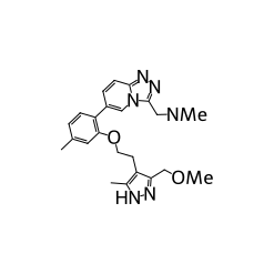 CNCc1nnc2ccc(-c3ccc(C)cc3OCCc3c(COC)n[nH]c3C)cn12